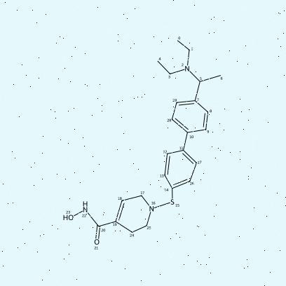 CCN(CC)C(C)c1ccc(-c2ccc(SN3CC=C(C(=O)NO)CC3)cc2)cc1